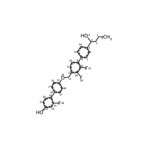 CCCC(O)c1ccc(-c2ccc(COc3ccc(-c4ccc(O)cc4F)cc3)c(F)c2F)cc1